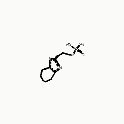 O=P(O)(O)OCc1nc2c(s1)CCCC2